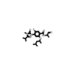 CC(C)CC(C)Oc1cc(-n2nc(C(C)C)n(C)c2=O)c(F)cc1C(=O)NC(C)C=O